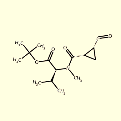 CC(C)[C@@H](C(=O)OC(C)(C)C)N(C)C(=O)[C@H]1C[C@H]1C=O